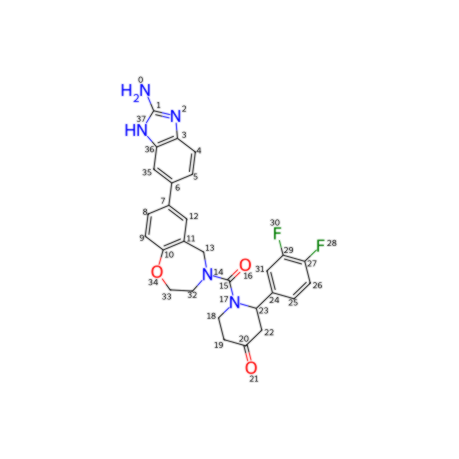 Nc1nc2ccc(-c3ccc4c(c3)CN(C(=O)N3CCC(=O)CC3c3ccc(F)c(F)c3)CCO4)cc2[nH]1